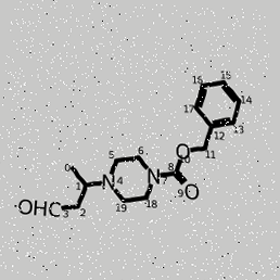 CC(C[C]=O)N1CCN(C(=O)OCc2ccccc2)CC1